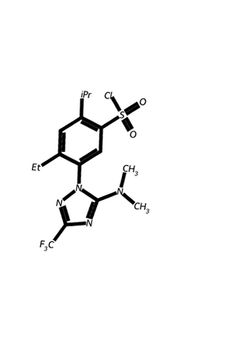 CCc1cc(C(C)C)c(S(=O)(=O)Cl)cc1-n1nc(C(F)(F)F)nc1N(C)C